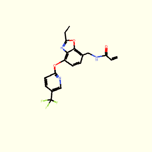 C=CC(=O)NCc1ccc(Oc2ccc(C(F)(F)F)cn2)c2nc(CC)oc12